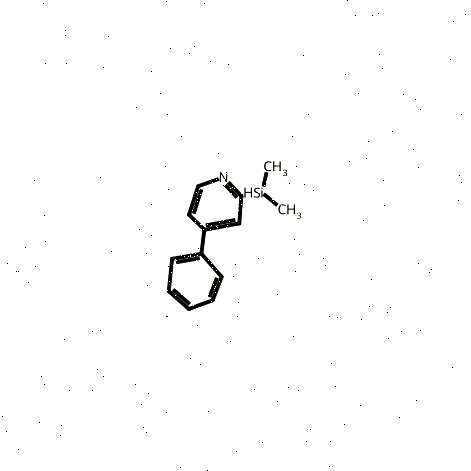 C[SiH](C)c1cc(-c2ccccc2)ccn1